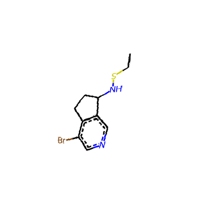 CCSNC1CCc2c(Br)cncc21